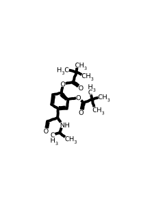 CC(C)NC(C=O)c1ccc(OC(=O)C(C)(C)C)c(OC(=O)C(C)(C)C)c1